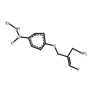 CCN[S+]([O-])c1ccc(OC/C(=C/F)CN)cc1